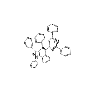 c1ccc(-c2cc(-c3c(-c4ccccc4)c4c(-c5ccccc5)nn(-c5ccccc5)c4c4ccccc34)cc(-c3ccccc3)n2)cc1